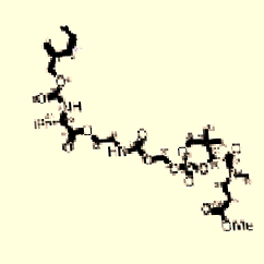 C=C(/C=C\C)COC(=O)N[C@H](C(=O)OCCNC(=O)OCOP1(=O)OCC(C)(C)[C@H](C(=O)N(C)CCC(=O)OC)O1)C(C)C